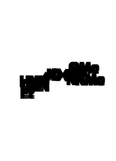 CCc1cc2ncc(CN3CC=C(c4cnc(C(=O)NC)c(OC)c4)CC3)cc2[nH]c1=O